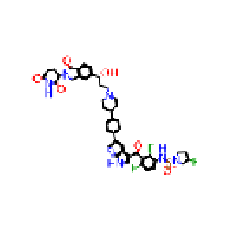 O=C1CCC(N2Cc3cc(C(O)CCN4CCC(c5ccc(-c6cnc7[nH]cc(C(=O)c8c(F)ccc(N[S+]([O-])N9CCC(F)C9)c8F)c7c6)cc5)CC4)ccc3C2=O)C(=O)N1